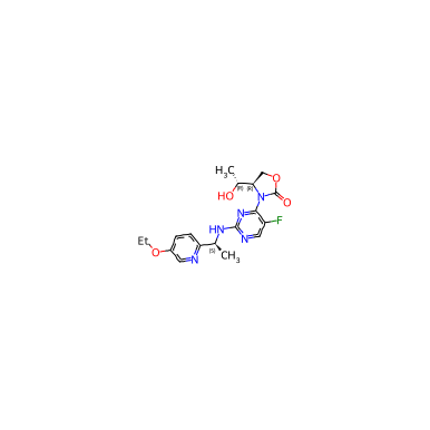 CCOc1ccc([C@H](C)Nc2ncc(F)c(N3C(=O)OC[C@@H]3[C@@H](C)O)n2)nc1